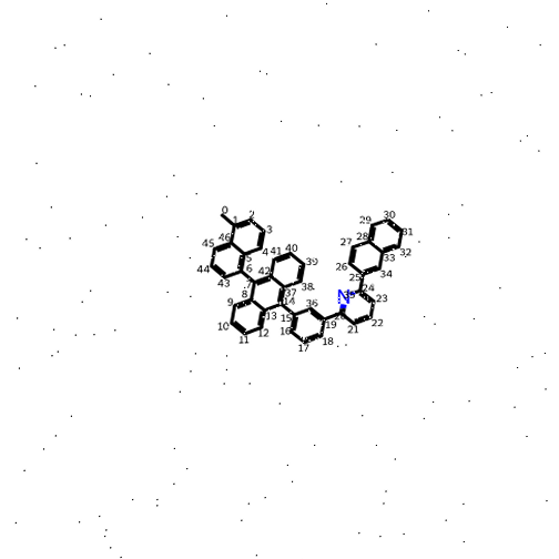 Cc1cccc2c(-c3c4ccccc4c(-c4cccc(-c5cccc(-c6ccc7ccccc7c6)n5)c4)c4ccccc34)cccc12